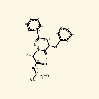 C[C@H](NC(=O)[C@@H](Cc1ccccc1)NC(=O)c1ccccc1)C(=O)N[C@H](C=O)C(C)(C)C